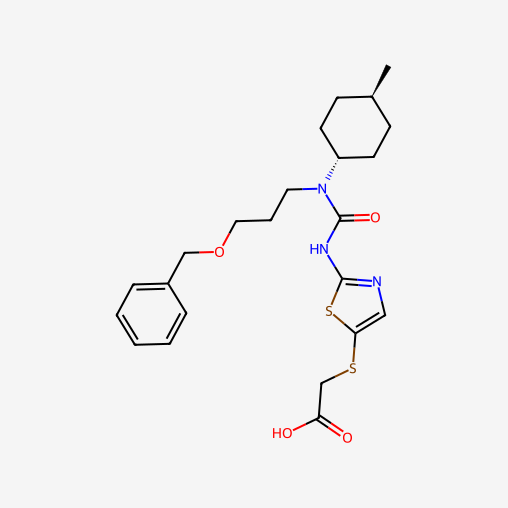 C[C@H]1CC[C@H](N(CCCOCc2ccccc2)C(=O)Nc2ncc(SCC(=O)O)s2)CC1